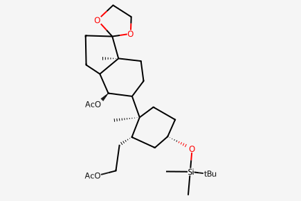 CC(=O)OCC[C@H]1C[C@@H](O[Si](C)(C)C(C)(C)C)CC[C@]1(C)C1CC[C@@]2(C)C(CCC23OCCO3)[C@@H]1OC(C)=O